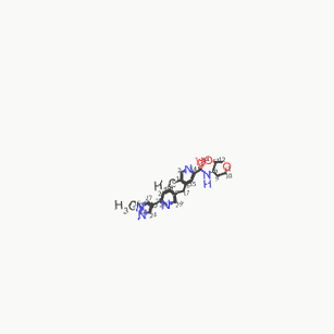 Cc1cnc(C(=O)N[C@H]2CCOC[C@@H]2O)cc1Cc1ccc(-c2cnn(C)c2)nc1